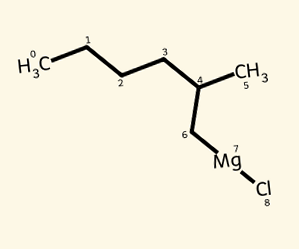 CCCCC(C)[CH2][Mg][Cl]